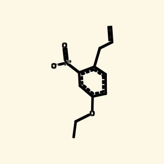 C=CCc1ccc(OCC)cc1[N+](=O)[O-]